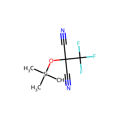 C[Si](C)(C)OC(C#N)(C#N)C(F)(F)F